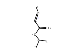 C/N=C/C(=O)OC(C)C